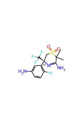 CC1(C)C(N)=N[C@@](c2cc(N)ccc2F)(C(F)(F)F)CS1(=O)=O